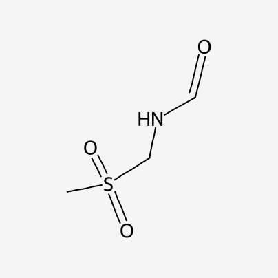 CS(=O)(=O)CNC=O